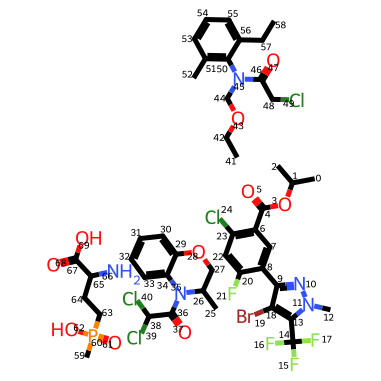 CC(C)OC(=O)c1cc(-c2nn(C)c(C(F)(F)F)c2Br)c(F)cc1Cl.CC1COc2ccccc2N1C(=O)C(Cl)Cl.CCOCN(C(=O)CCl)c1c(C)cccc1CC.CP(=O)(O)CCC(N)C(=O)O